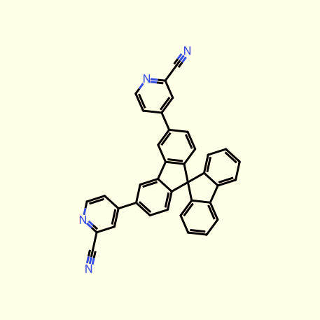 N#Cc1cc(-c2ccc3c(c2)-c2cc(-c4ccnc(C#N)c4)ccc2C32c3ccccc3-c3ccccc32)ccn1